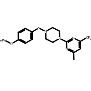 CCCOc1ccc(SN2CCN(c3nc(C)cc(C(F)(F)F)n3)CC2)cc1